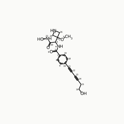 COC1(C(NC(=O)c2ccc(C#CC#CCCO)cc2)C(=O)NO)CNC1